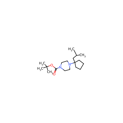 CC(C)CC1(N2CCN(C(=O)OC(C)(C)C)CC2)CCCC1